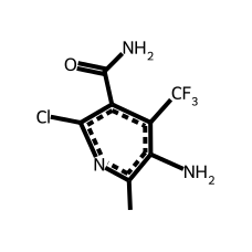 Cc1nc(Cl)c(C(N)=O)c(C(F)(F)F)c1N